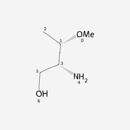 CO[C@@H](C)[C@H](N)CO